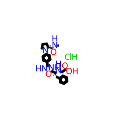 CNC(=O)[C@@H]1CCCN1c1ccc(C(=N)NC(=O)[C@@H](Cc2ccccc2)NCC(=O)O)cc1.Cl